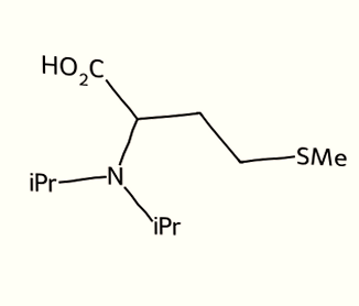 CSCCC(C(=O)O)N(C(C)C)C(C)C